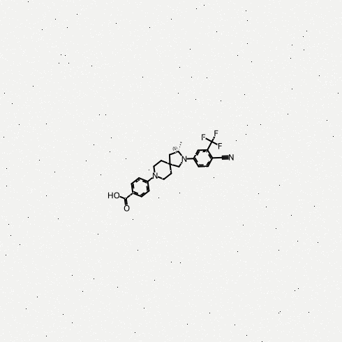 C[C@H]1CC2(CCN(c3ccc(C(=O)O)cc3)CC2)CN1c1ccc(C#N)c(C(F)(F)F)c1